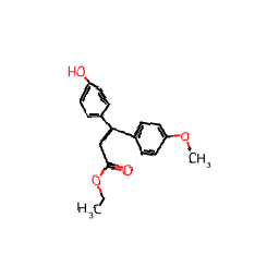 CCOC(=O)CC(c1ccc(O)cc1)c1ccc(OC)cc1